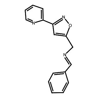 C(=N\Cc1cc(-c2ccccn2)no1)/c1ccccc1